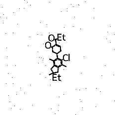 CCC(=O)C1=CCC(c2c(C)c3c(c(C)c2Cl)CC(C)(CC)C3)CC1=O